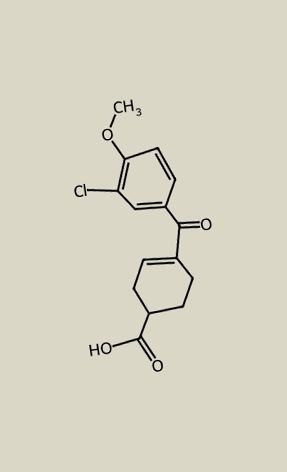 COc1ccc(C(=O)C2=CCC(C(=O)O)CC2)cc1Cl